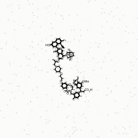 C#Cc1c(F)ccc2cc(O)cc(-c3ncc4c(N5C[C@H]6CC[C@@H](C5)N6)nc(OC(C)CN5CCC(OCCOc6ccc7c(c6)O[C@H](C)CN(Cc6cc(C(CC(=O)O)c8cc(OC)c9c(c8)nnn9C)ccc6C)S7(=O)=O)CC5)nc4c3F)c12